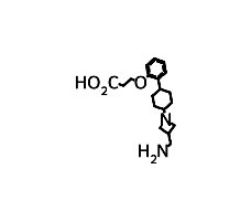 NCC1CN(C2CCC(c3ccccc3OCCC(=O)O)CC2)C1